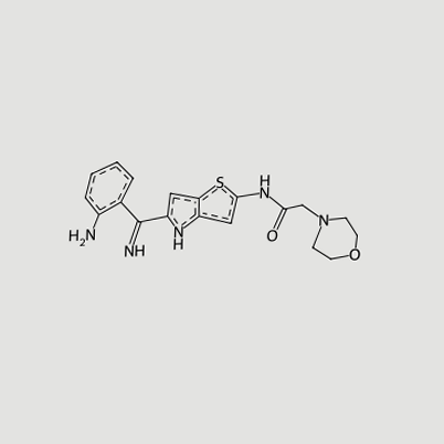 N=C(c1cc2sc(NC(=O)CN3CCOCC3)cc2[nH]1)c1ccccc1N